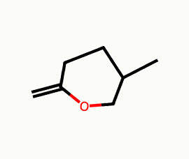 C=C1CCC(C)CO1